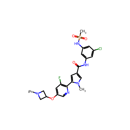 CC(C)N1CC(Oc2cnc(-c3cc(C(=O)Nc4cc(Cl)cc(NS(C)(=O)=O)c4)cn3C)c(F)c2)C1